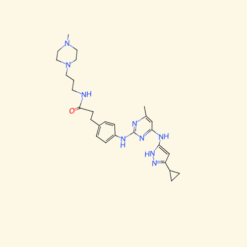 Cc1cc(Nc2cc(C3CC3)n[nH]2)nc(Nc2ccc(CCC(=O)NCCCN3CCN(C)CC3)cc2)n1